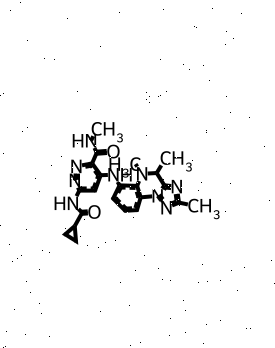 CNC(=O)c1nnc(NC(=O)C2CC2)cc1Nc1cccc2c1N(C)C(C)c1nc(C)nn1-2